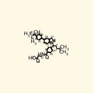 CC(C)CCC(c1ccc(C(=O)NCCC(=O)O)cc1)n1ncc2cc(-c3ccc(C(C)(C)C)cc3)ccc21